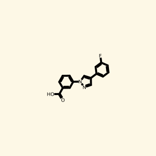 O=C(O)c1cccc(-n2cc(-c3cccc(F)c3)cn2)c1